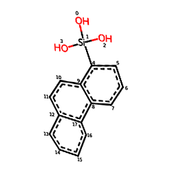 O[Si](O)(O)c1cccc2c1ccc1ccccc12